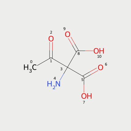 CC(=O)C(N)(C(=O)O)C(=O)O